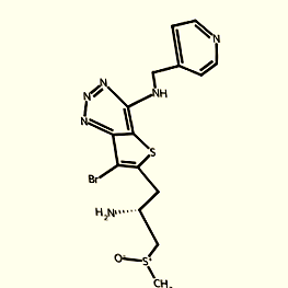 C[S+]([O-])C[C@H](N)Cc1sc2c(NCc3ccncc3)nnnc2c1Br